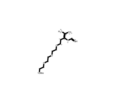 COCCOCCOCCOCCC(SC=N)=C(C)C